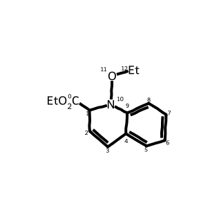 CCOC(=O)C1C=Cc2ccccc2N1OCC